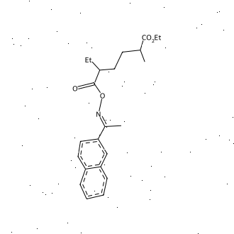 CCOC(=O)C(C)CCC(CC)C(=O)ON=C(C)c1ccc2ccccc2c1